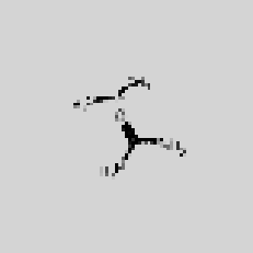 C[Se]C.NC(N)=O